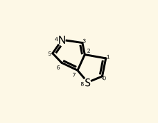 [c]1cc2cnccc2s1